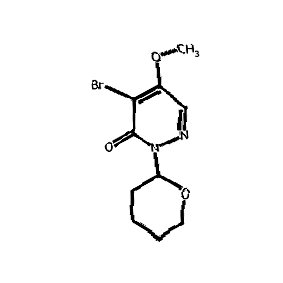 COc1cnn(C2CCCCO2)c(=O)c1Br